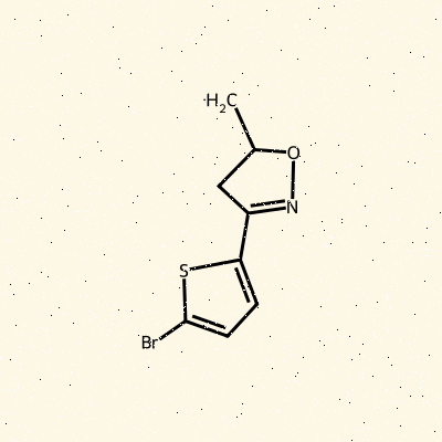 [CH2]C1CC(c2ccc(Br)s2)=NO1